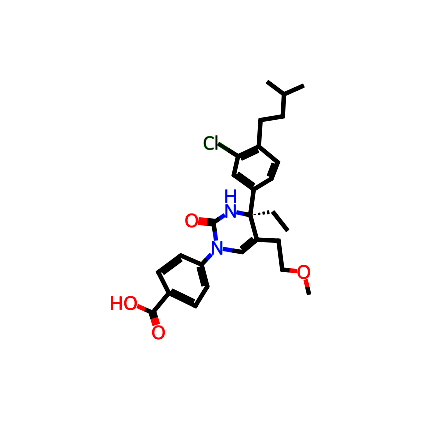 CC[C@@]1(c2ccc(CCC(C)C)c(Cl)c2)NC(=O)N(c2ccc(C(=O)O)cc2)C=C1CCOC